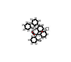 Clc1ccc2c(c1)C1(c3ccccc3S2)c2ccccc2[Si](c2ccccc2)(c2ccccc2)c2ccccc21